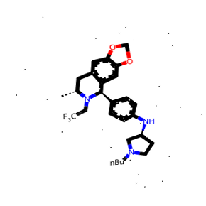 CCCCN1CC[C@H](Nc2ccc([C@@H]3c4cc5c(cc4C[C@@H](C)N3CC(F)(F)F)OCO5)cc2)C1